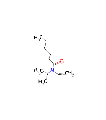 C=CN(C(=O)CCCCC)C(C)C